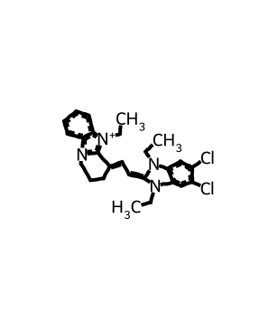 CCN1C(=CC=C2CCCn3c2[n+](CC)c2ccccc23)N(CC)c2cc(Cl)c(Cl)cc21